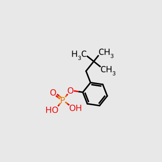 CC(C)(C)Cc1ccccc1OP(=O)(O)O